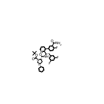 CC(C)(C)OC(=O)N1C[C@@H](c2ccccc2)C[C@H]1C(=O)N[C@@H](Cc1cc(F)cc(F)c1)c1ncccc1-c1ccc(F)c(C(N)=O)c1